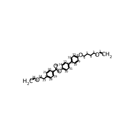 C=COCCCCOc1ccc(-c2ccc(OC(=O)c3ccc(CCOC=C)cc3)cc2)cc1